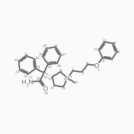 C[N+]1(CCCOc2ccccc2)CC[C@H](C(C(N)=O)(c2ccccc2)c2ccccc2)C1